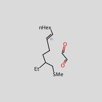 CCCCCC/C=C/CCC(CC)CSC.O=CC=O